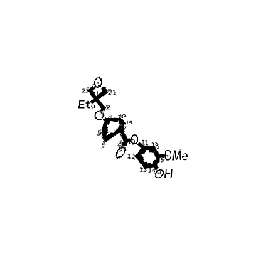 CCC1(COc2ccc(C(=O)Oc3ccc(O)c(OC)c3)cc2)COC1